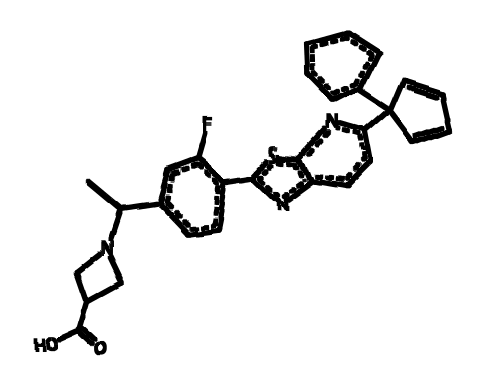 CC(c1ccc(-c2nc3ccc(C4(c5ccccc5)C=CC=C4)nc3s2)c(F)c1)N1CC(C(=O)O)C1